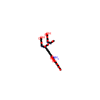 CCCCC/C=C\C/C=C\CCCCCCCC(=O)O.CCCCC/C=C\C/C=C\CCCCCCCC(=O)O.CCCCCCCCCCCCOC(=O)CC[C@H](N)C(=O)OCCCCCCCCCCCC